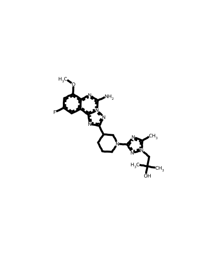 COc1cc(F)cc2c1nc(N)n1nc(C3CCCN(c4nc(C)n(CC(C)(C)O)n4)C3)nc21